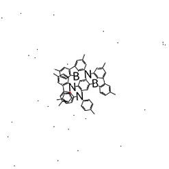 Cc1ccc(N(c2ccc(C)cc2)c2cc3c4c(c2-n2c5ccc(C)cc5c5cc(C)ccc52)B2c5ccc(C)cc5-c5cc(C)cc(c52)N4c2cc(C)cc4c2B3c2ccc(C)cc2-4)cc1